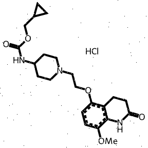 COc1ccc(OCCN2CCC(NC(=O)OCC3CC3)CC2)c2c1NC(=O)CC2.Cl